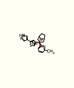 Cc1cccc(C2(C#N)CC3CCC(C2)N3C(=O)c2csc(-c3cn[nH]c3)c2)n1